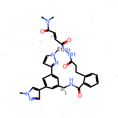 CCn1ccc(-c2cc(-c3cnn(C)c3)cc([C@@H](C)NC(=O)c3ccccc3CCC(=O)NNC(=O)/C=C/C(=O)N(C)C)c2)n1